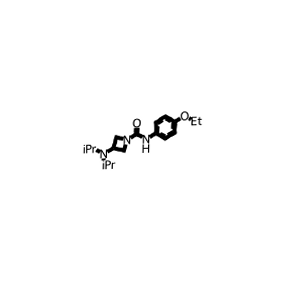 CCOc1ccc(NC(=O)N2CC(N(C(C)C)C(C)C)C2)cc1